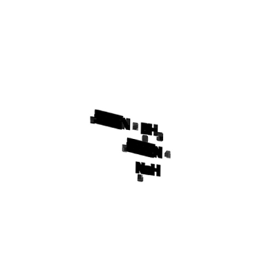 B.C#N.C#N.[NaH]